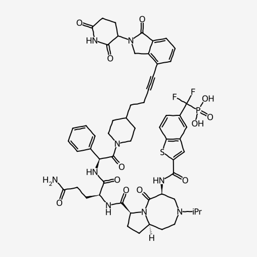 CC(C)N1CC[C@H]2CC[C@@H](C(=O)N[C@@H](CCC(N)=O)C(=O)N[C@H](C(=O)N3CCC(CCC#Cc4cccc5c4CN(C4CCC(=O)NC4=O)C5=O)CC3)c3ccccc3)N2C(=O)[C@@H](NC(=O)c2cc3cc(C(F)(F)P(=O)(O)O)ccc3s2)C1